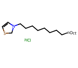 CCCCCCCCCCCCCCCCN1C=CSC1.Cl